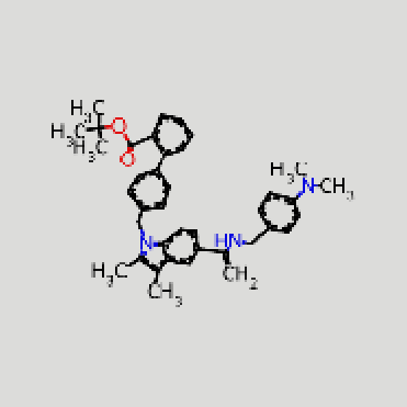 C=C(NCc1ccc(N(C)C)cc1)c1ccc2c(c1)c(C)c(C)n2Cc1ccc(-c2ccccc2C(=O)OC(C)(C)C)cc1